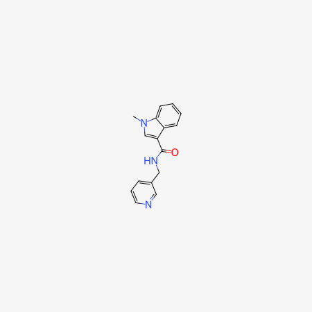 Cn1cc(C(=O)NCc2cccnc2)c2ccccc21